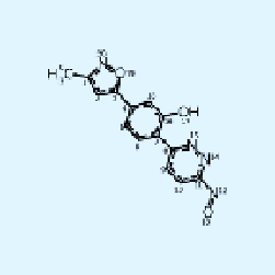 Cc1cc(-c2ccc(-c3ccc(N=O)nn3)c(O)c2)on1